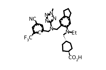 CCN(C[C@H]1CC[C@H](C(=O)O)CC1)c1cc2c(cc1CN(Cc1cc(C#N)cc(C(F)(F)F)c1)c1nnn(C)n1)CCC2